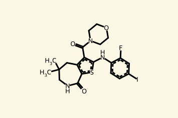 CC1(C)CNC(=O)c2sc(Nc3ccc(I)cc3F)c(C(=O)N3CCOCC3)c2C1